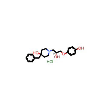 Cl.Oc1ccc(OC[C@@H](O)CN2CCC(O)(Cc3ccccc3)CC2)cc1